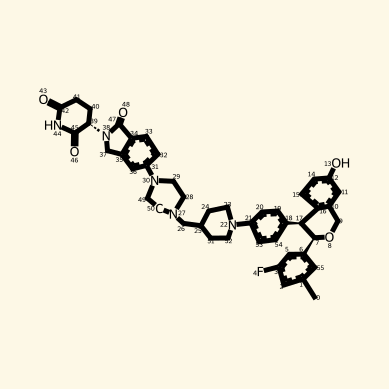 Cc1cc(F)cc([C@@H]2OCc3cc(O)ccc3[C@@H]2c2ccc(N3CCC(CN4CCN(c5ccc6c(c5)CN([C@H]5CCC(=O)NC5=O)C6=O)CC4)CC3)cc2)c1